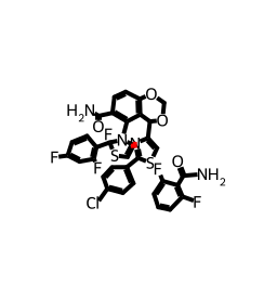 NC(=O)c1c(F)cccc1F.NC(=O)c1ccc2c(c1N1C=CSC1(F)c1ccc(F)cc1F)C(c1csc(-c3ccc(Cl)cc3)n1)OCO2